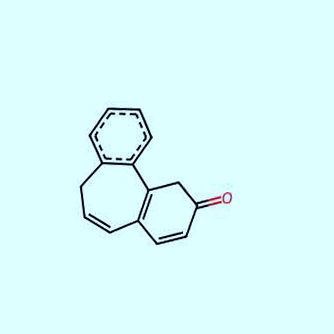 O=C1C=CC2=C(C1)c1ccccc1CC=C2